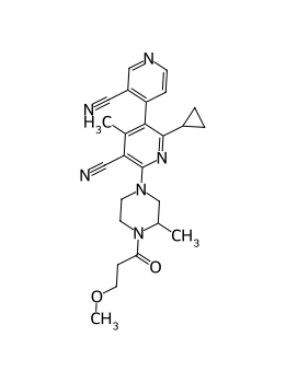 COCCC(=O)N1CCN(c2nc(C3CC3)c(-c3ccncc3C#N)c(C)c2C#N)CC1C